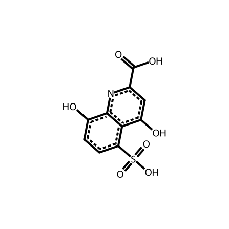 O=C(O)c1cc(O)c2c(S(=O)(=O)O)ccc(O)c2n1